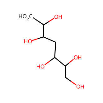 O=C(O)C(O)C(O)CC(O)C(O)CO